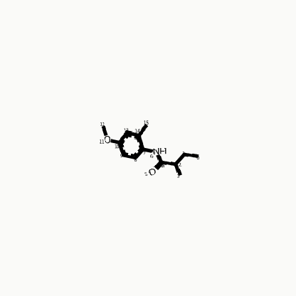 CCC(C)C(=O)Nc1ccc(OC)cc1C